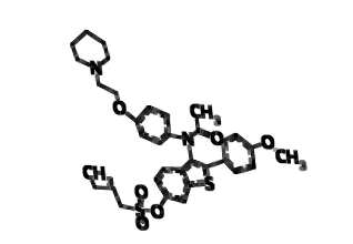 CCCCS(=O)(=O)Oc1ccc2c(N(C(C)=O)c3ccc(OCCN4CCCCC4)cc3)c(-c3ccc(OC)cc3)sc2c1